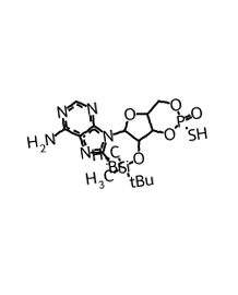 CC(C)(C)[Si](C)(C)OC1C2OP(=O)(S)OCC2OC1n1c(Br)nc2c(N)ncnc21